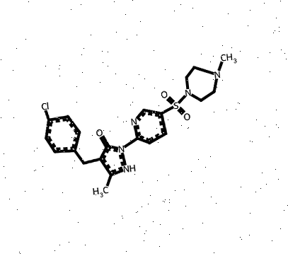 Cc1[nH]n(-c2ccc(S(=O)(=O)N3CCN(C)CC3)cn2)c(=O)c1Cc1ccc(Cl)cc1